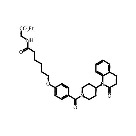 CCOC(=O)CNC(=O)CCCCCOc1ccc(C(=O)N2CCC(N3C(=O)CCc4ccccc43)CC2)cc1